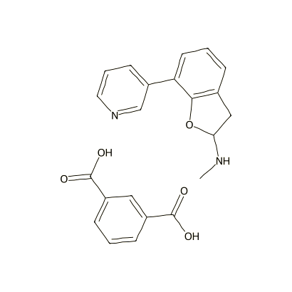 CNC1Cc2cccc(-c3cccnc3)c2O1.O=C(O)c1cccc(C(=O)O)c1